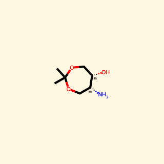 CC1(C)OC[C@@H](N)[C@@H](O)CO1